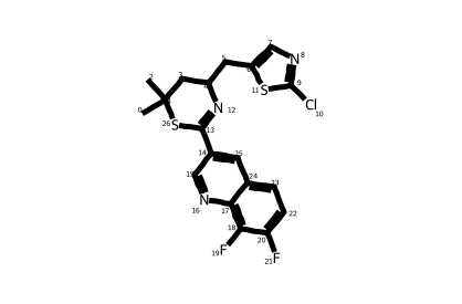 CC1(C)CC(Cc2cnc(Cl)s2)N=C(c2cnc3c(F)c(F)ccc3c2)S1